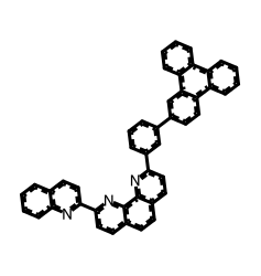 c1cc(-c2ccc3c4ccccc4c4ccccc4c3c2)cc(-c2ccc3ccc4ccc(-c5ccc6ccccc6n5)nc4c3n2)c1